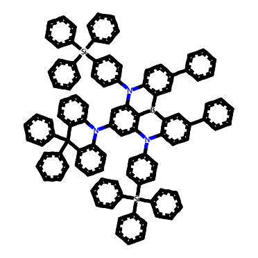 c1ccc(-c2ccc3c(c2)B2c4cc(-c5ccccc5)ccc4N(c4ccc([Si](c5ccccc5)(c5ccccc5)c5ccccc5)cc4)c4cc(N5c6ccccc6C(c6ccccc6)(c6ccccc6)c6ccccc65)cc(c42)N3c2ccc([Si](c3ccccc3)(c3ccccc3)c3ccccc3)cc2)cc1